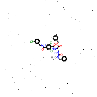 CN(Cc1ccccc1)C(=O)NC[C@H](NC(=O)c1c(Cl)cc(C(=O)NCc2cccc(Cl)c2)cc1Cl)C(=O)OCc1ccccc1